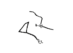 CCC1CC1.CCNC